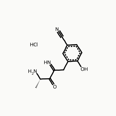 C[C@H](N)C(=O)C(=N)Cc1cc(C#N)ccc1O.Cl